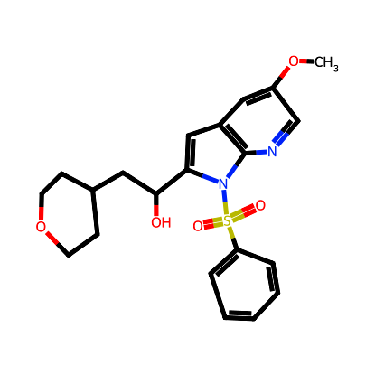 COc1cnc2c(c1)cc(C(O)CC1CCOCC1)n2S(=O)(=O)c1ccccc1